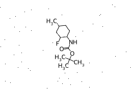 CC1CCC(NC(=O)OC(C)(C)C)C(F)C1